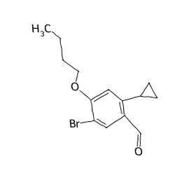 CCCCOc1cc(C2CC2)c(C=O)cc1Br